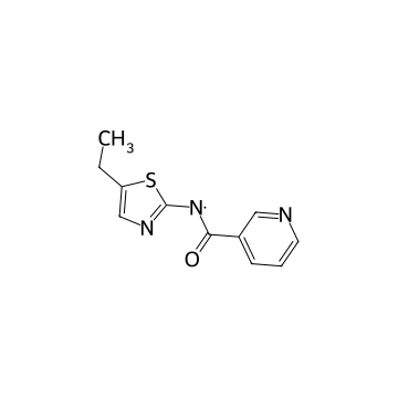 CCc1cnc([N]C(=O)c2cccnc2)s1